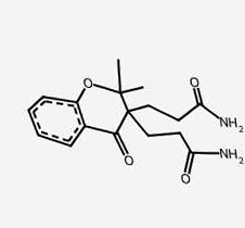 CC1(C)Oc2ccccc2C(=O)C1(CCC(N)=O)CCC(N)=O